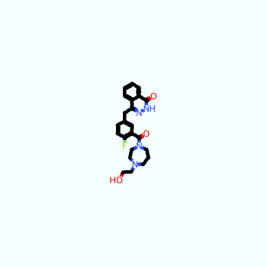 O=C(c1cc(Cc2n[nH]c(=O)c3ccccc23)ccc1F)N1CCCN(CCO)CC1